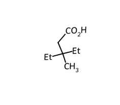 CCC(C)(CC)CC(=O)O